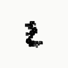 CCOC(=O)N=S(C)(=O)c1cccc(COc2cc3ncnc(NC[C@H](C)O)c3cc2Br)c1